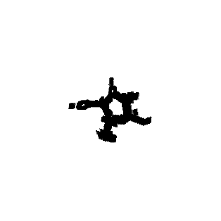 Cc1noc(=O)[n]1[Rb]